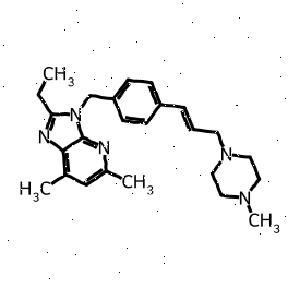 CCc1nc2c(C)cc(C)nc2n1Cc1ccc(C=CCN2CCN(C)CC2)cc1